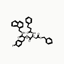 O=C(CCc1ccccc1)N[C@@H](CC(=O)OCc1ccccc1)C(=O)NC(Cc1ccc(F)cc1)C(=O)NCc1cccc2ccccc12